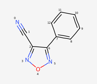 N#Cc1nonc1-c1ccccc1